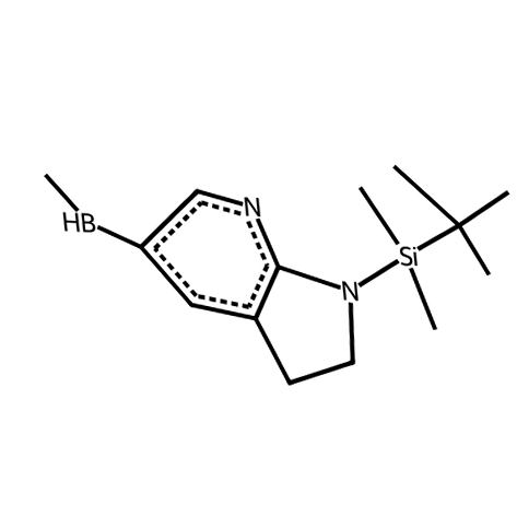 CBc1cnc2c(c1)CCN2[Si](C)(C)C(C)(C)C